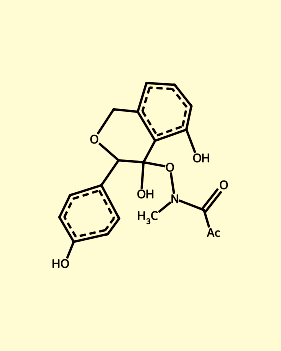 CC(=O)C(=O)N(C)OC1(O)c2c(O)cccc2COC1c1ccc(O)cc1